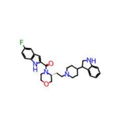 O=C(c1cc2cc(F)ccc2[nH]1)N1CCOC[C@H]1CCN1CCC(C2CNc3ccccc32)CC1